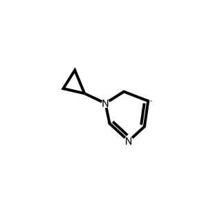 [C]1=CN=CN(C2CC2)C1